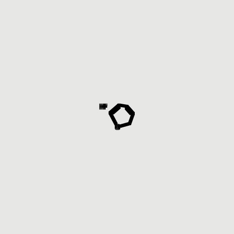 C1=CCOC=C1.F